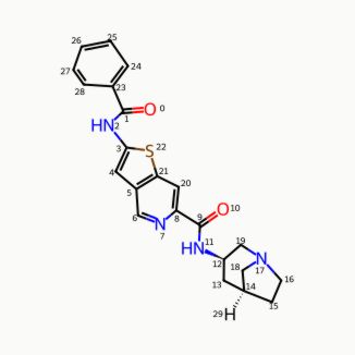 O=C(Nc1cc2cnc(C(=O)N[C@@H]3C[C@@H]4CCN(C4)C3)cc2s1)c1ccccc1